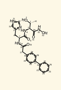 C[C@@H](O)[C@H](NC(=O)[C@H](Cc1c[nH]cn1)NC(=O)Cc1ccc(-c2ccccc2)cc1)C(=O)NO